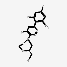 Cc1cc(-c2c(C)cc(Cl)cc2O)nnc1N1CCO[C@H](CO)C1